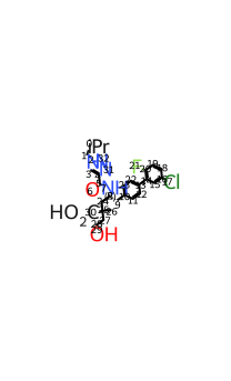 CC(C)Cn1cc(C(=O)N[C@H](Cc2ccc(-c3cc(Cl)ccc3F)cc2)CC(C)(CCO)C(=O)O)nn1